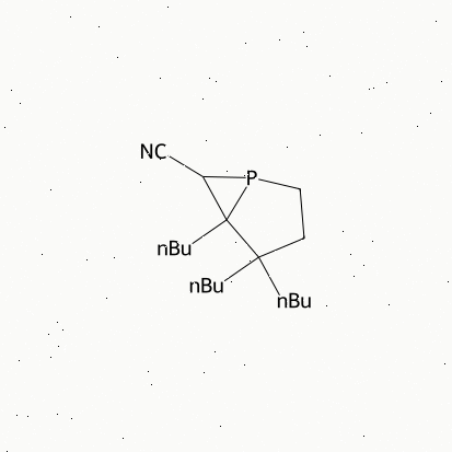 CCCCC1(CCCC)CCP2C(C#N)C21CCCC